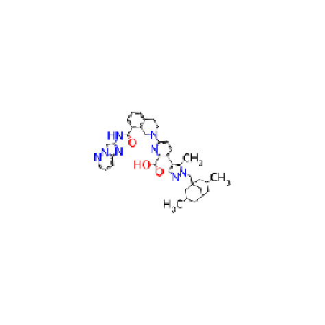 Cc1c(-c2ccc(N3CCc4cccc(C(=O)Nc5cn6ncccc6n5)c4C3)nc2C(=O)O)cnn1CC12CC(C)CC(CC(C)C1)C2